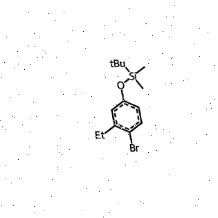 CCc1cc(O[Si](C)(C)C(C)(C)C)ccc1Br